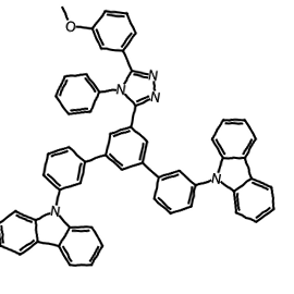 COc1cccc(-c2nnc(-c3cc(-c4cccc(-n5c6ccccc6c6ccccc65)c4)cc(-c4cccc(-n5c6ccccc6c6ccccc65)c4)c3)n2-c2ccccc2)c1